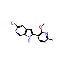 COc1nc(C)ccc1-c1cc2cc(Cl)ncc2n1C